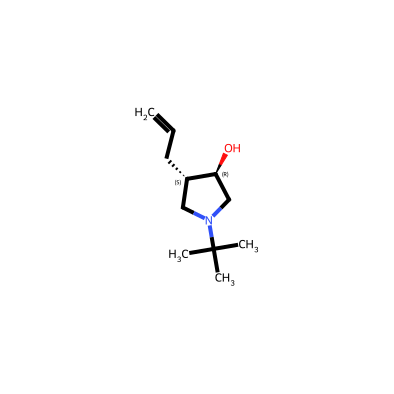 C=CC[C@H]1CN(C(C)(C)C)C[C@@H]1O